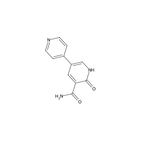 NC(=O)c1cc(-c2ccncc2)c[nH]c1=O